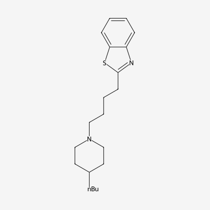 CCCCC1CCN(CCCCc2nc3ccccc3s2)CC1